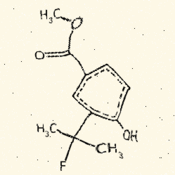 COC(=O)c1ccc(O)c(C(C)(C)F)c1